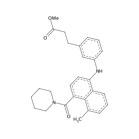 COC(=O)CCc1cccc(Nc2ccc(C(=O)N3CCCCC3)c3c(C)cccc23)c1